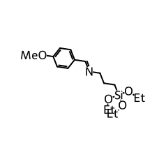 CCO[Si](CCCN=Cc1ccc(OC)cc1)(OCC)OCC